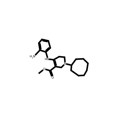 COC(=O)C1=C(Nc2ccccc2N)CCN(C2CCCCCCC2)C1